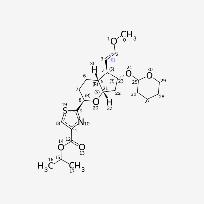 CO/C=C/[C@@H]1[C@H]2CC[C@H](c3nc(C(=O)OC(C)C)cs3)O[C@H]2C[C@H]1OC1CCCCO1